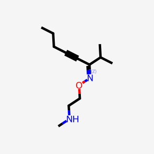 CCCC#C/C(=N\OCCNC)C(C)C